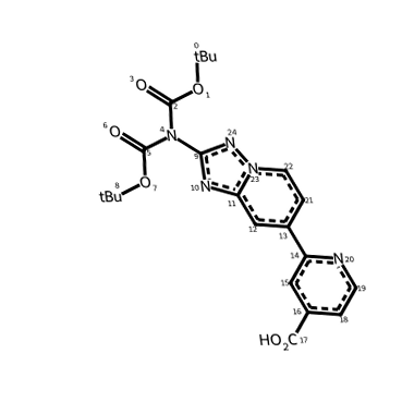 CC(C)(C)OC(=O)N(C(=O)OC(C)(C)C)c1nc2cc(-c3cc(C(=O)O)ccn3)ccn2n1